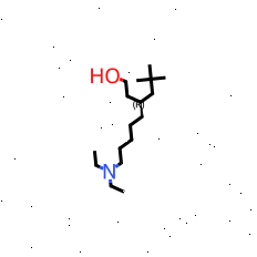 CCN(CC)CCCCC[C@@H](CCO)CC(C)(C)C